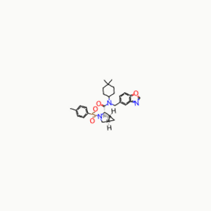 Cc1ccc(S(=O)(=O)N2C[C@@H]3C[C@@H]3[C@H]2C(=O)N(Cc2ccc3ocnc3c2)C2CCC(C)(C)CC2)cc1